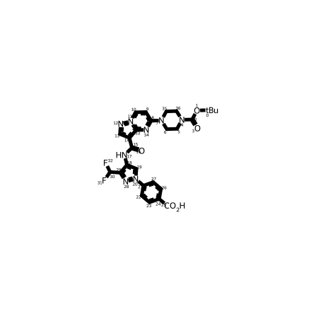 CC(C)(C)OC(=O)N1CCN(c2ccn3ncc(C(=O)Nc4cn(-c5ccc(C(=O)O)cc5)nc4C(F)F)c3n2)CC1